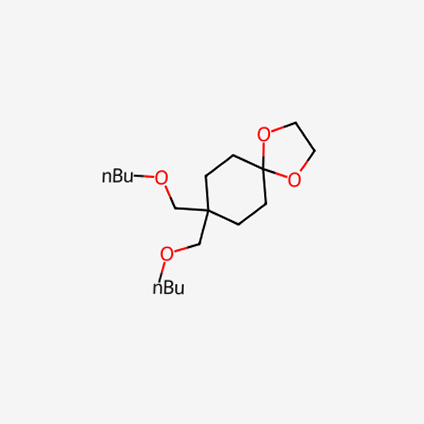 CCCCOCC1(COCCCC)CCC2(CC1)OCCO2